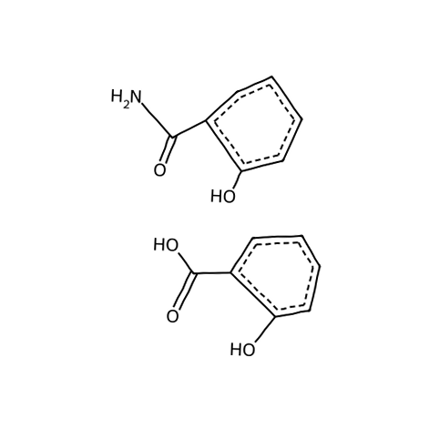 NC(=O)c1ccccc1O.O=C(O)c1ccccc1O